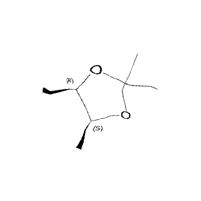 C[C@@H]1OC(C)(C)O[C@@H]1C